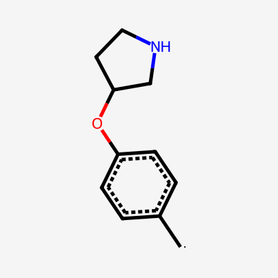 [CH2]c1ccc(OC2CCNC2)cc1